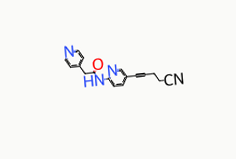 N#CCCC#Cc1ccc(NC(=O)Cc2ccncc2)nc1